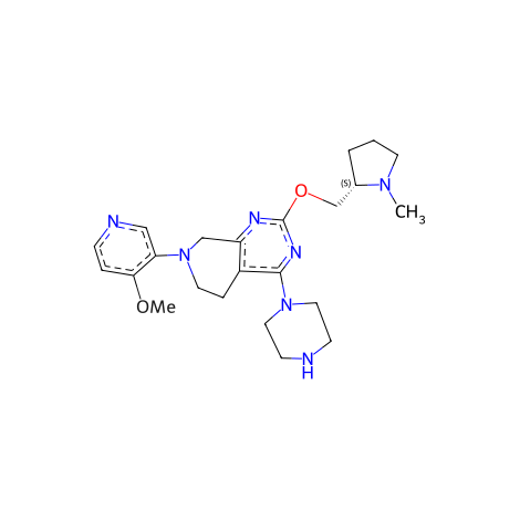 COc1ccncc1N1CCc2c(nc(OC[C@@H]3CCCN3C)nc2N2CCNCC2)C1